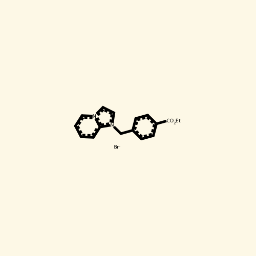 CCOC(=O)c1ccc(Cn2cc[n+]3ccccc23)cc1.[Br-]